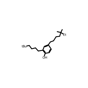 CCC(C)(C)CCCCc1ccc(O)c(CCCCC(C)(C)C)c1